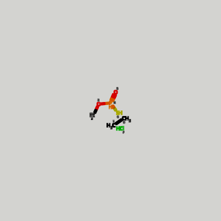 CC.CCO[PH](=O)S.Cl